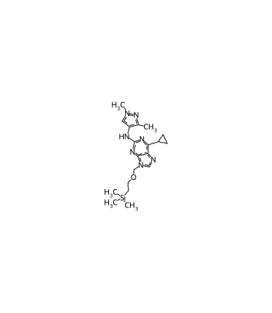 Cc1nn(C)cc1Nc1nc(C2CC2)c2ncn(COCC[Si](C)(C)C)c2n1